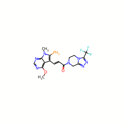 COc1ncnc2c1c(/C=C/C(=O)N1CCn3c(nnc3C(F)(F)F)C1)c(P)n2C